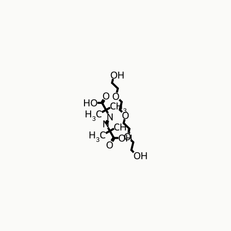 CC(C)(/N=N/C(C)(C)C(=O)O)C(=O)O.OCCOCCOCCOCCO